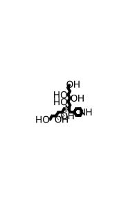 OCC[C@@H](O)C[C@@H](O)CN(CC1CCNCC1)C[C@H](O)[C@@H](O)[C@H](O)CCO